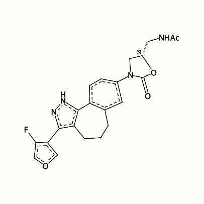 CC(=O)NC[C@H]1CN(c2ccc3c(c2)CCCc2c(-c4cocc4F)n[nH]c2-3)C(=O)O1